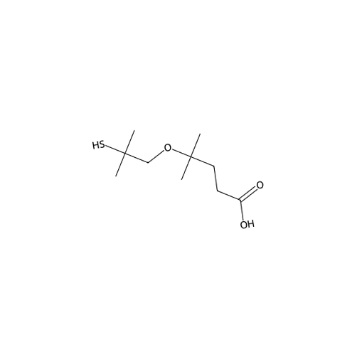 CC(C)(S)COC(C)(C)CCC(=O)O